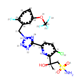 C[C@](O)(CS(N)(=O)=O)c1nc(-c2nnn(Cc3cc(OC(F)(F)F)ccc3F)n2)ccc1Cl